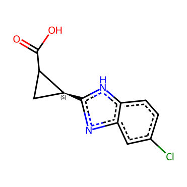 O=C(O)C1C[C@@H]1c1nc2cc(Cl)ccc2[nH]1